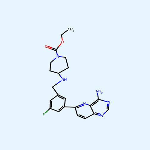 CCOC(=O)N1CCC(NCc2cc(F)cc(-c3ccc4ncnc(N)c4n3)c2)CC1